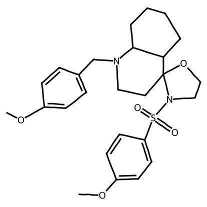 COc1ccc(CN2CCC3(OCCN3S(=O)(=O)c3ccc(OC)cc3)C3CCCCC32)cc1